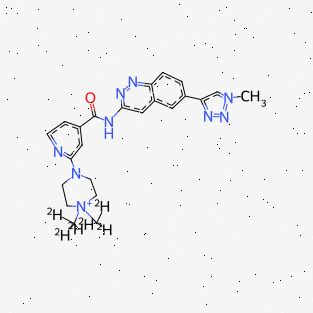 [2H]C([2H])([2H])[N+]1(C([2H])([2H])[2H])CCN(c2cc(C(=O)Nc3cc4cc(-c5cn(C)nn5)ccc4nn3)ccn2)CC1